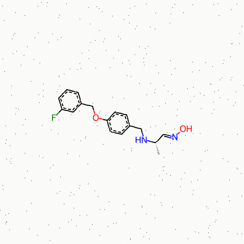 C[C@@H](C=NO)NCc1ccc(OCc2cccc(F)c2)cc1